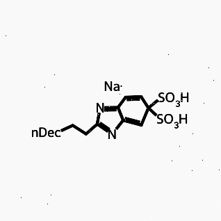 CCCCCCCCCCCCC1=NC2=CC(S(=O)(=O)O)(S(=O)(=O)O)C=CC2=N1.[Na]